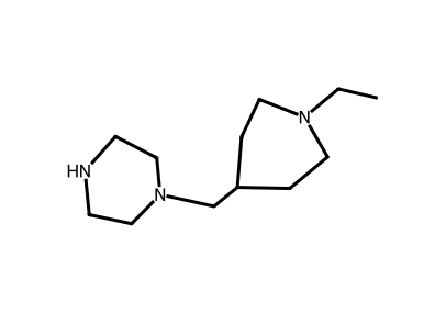 CCN1CCC(CN2CCNCC2)CC1